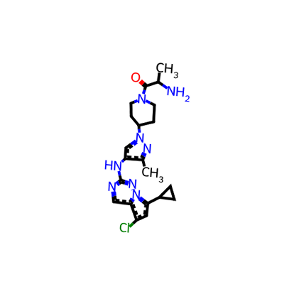 Cc1nn(C2CCN(C(=O)C(C)N)CC2)cc1Nc1ncc2c(Cl)cc(C3CC3)n2n1